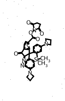 C[Si]1(C)c2cc(N3CCC3)ccc2C2(C(=[N+]=[N-])C(=O)c3ccc(C(=O)ON4C(=O)CCC4=O)cc32)c2ccc(N3CCC3)cc21